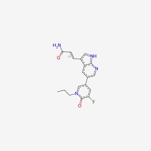 CCCn1cc(-c2cnc3[nH]cc(/C=C/C(N)=O)c3c2)cc(F)c1=O